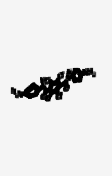 Nc1ccc(NC(=O)c2c(Cl)c(Cl)c(C(=O)Nc3ccc(N)cc3)c(Cl)c2Cl)cc1